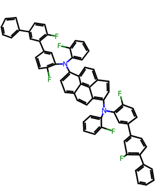 Fc1cc(-c2ccc(F)c(N(c3ccccc3F)c3ccc4ccc5c(N(c6ccccc6F)c6cc(-c7cc(-c8ccccc8)ccc7F)ccc6F)ccc6ccc3c4c65)c2)ccc1-c1ccccc1